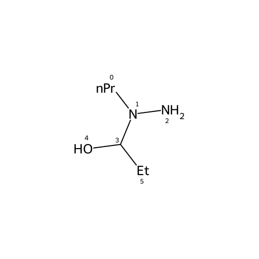 CCCN(N)C(O)CC